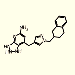 Nc1cc(Cc2cnn(CC3CCc4ccccc4C3)c2)c2c(n1)NNN2